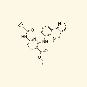 CCOC(=O)c1cnc(NC(=O)C2CC2)nc1Nc1cccc2c1N(C)Cc1cn(C)nc1-2